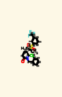 CC(C)([C@H]1CCC(=O)N(Cc2ccccc2Cl)C1)S(=O)(=O)c1cccc(C(F)(F)F)c1